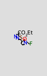 CCOC(=O)c1cnn2cc(-c3cccn(CCF)c3=O)sc12